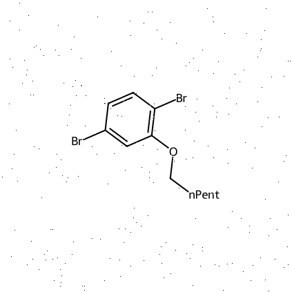 CCCCCCOc1cc(Br)[c]cc1Br